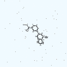 CCC(=O)c1cccc(-c2cc(Br)c3ncnn3c2)c1